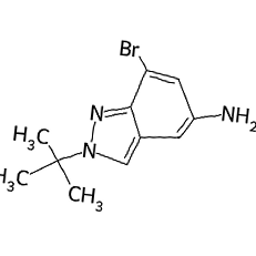 CC(C)(C)n1cc2cc(N)cc(Br)c2n1